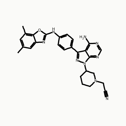 Cc1cc(C)c2oc(Nc3ccc(-c4nn(C5CCCN(CC#N)C5)c5ncnc(N)c45)cc3)nc2c1